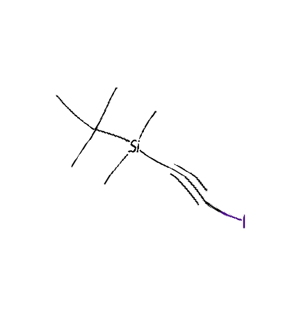 CC(C)(C)[Si](C)(C)C#CI